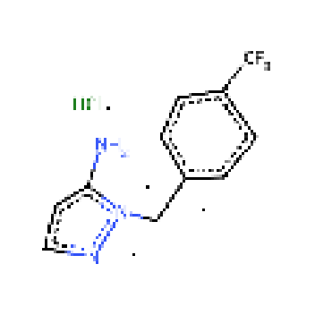 Cl.Nc1ccnn1Cc1ccc(C(F)(F)F)cc1